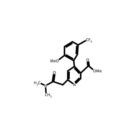 COC(=O)c1cnc(CC(=O)N(C)C)cc1-c1cc(C(F)(F)F)ccc1OC